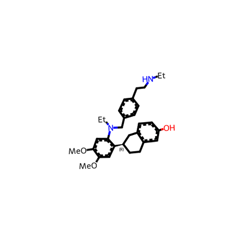 CCNCCc1ccc(CN(CC)c2cc(OC)c(OC)cc2[C@@H]2CCc3cc(O)ccc3C2)cc1